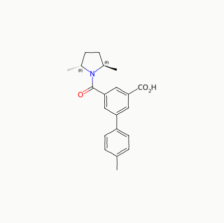 Cc1ccc(-c2cc(C(=O)O)cc(C(=O)N3[C@H](C)CC[C@H]3C)c2)cc1